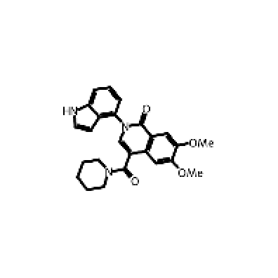 COc1cc2c(C(=O)N3CCCCC3)cn(-c3cccc4[nH]ccc34)c(=O)c2cc1OC